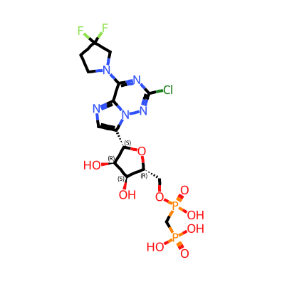 O=P(O)(O)CP(=O)(O)OC[C@H]1O[C@@H](c2cnc3c(N4CCC(F)(F)C4)nc(Cl)nn23)[C@H](O)[C@@H]1O